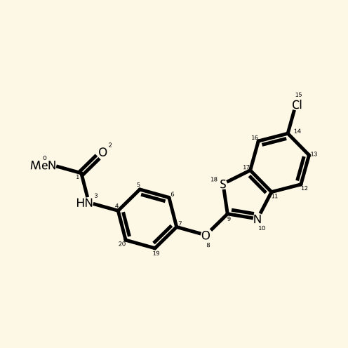 CNC(=O)Nc1ccc(Oc2nc3ccc(Cl)cc3s2)cc1